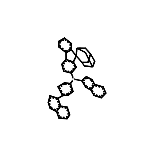 c1ccc2c(c1)-c1ccc(N(c3ccc(-c4cccc5ccccc45)cc3)c3ccc4ccccc4c3)cc1C21C2CC3CC(C2)CC1C3